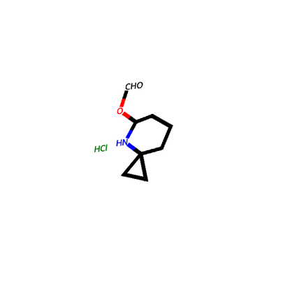 Cl.O=COC1CCCC2(CC2)N1